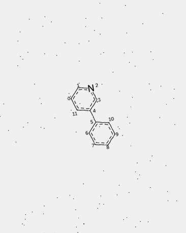 [c]1cn[c]c(-c2ccccc2)c1